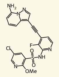 COc1ncc(Cl)cc1S(=O)(=O)Nc1nccc(C#Cc2cnn3c(N)cccc23)c1F